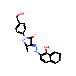 CC1=NN(c2ccc(CO)cc2)C(=O)/C1=N/Nc1ccc2ccccc2c1O